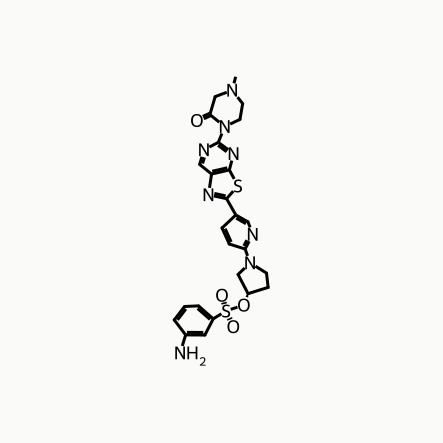 CN1CCN(c2ncc3nc(-c4ccc(N5CC[C@H](OS(=O)(=O)c6cccc(N)c6)C5)nc4)sc3n2)C(=O)C1